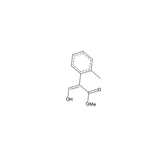 COC(=O)/C(=C\O)c1ccccc1C